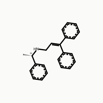 C[C@H](NCC=C(c1ccccc1)c1ccccc1)c1ccccc1